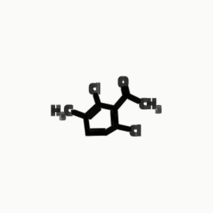 CC(=O)c1c(Cl)ccc(C)c1Cl